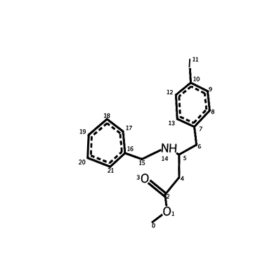 COC(=O)CC(Cc1ccc(I)cc1)NCc1ccccc1